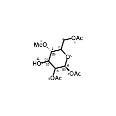 CO[C@@H]1C(COC(C)=O)O[C@@H](OC(C)=O)C(OC(C)=O)[C@H]1O